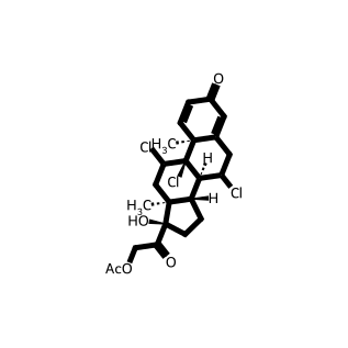 CC(=O)OCC(=O)[C@@]1(O)CC[C@H]2[C@@H]3C(Cl)CC4=CC(=O)C=C[C@]4(C)[C@@]3(Cl)C(Cl)C[C@@]21C